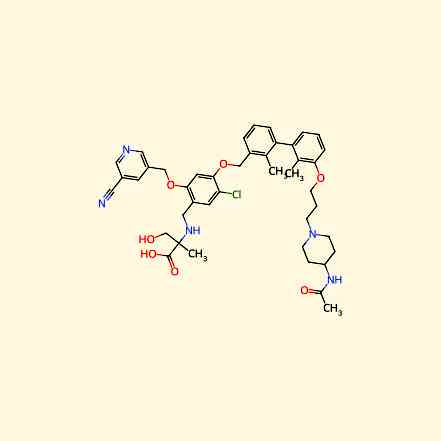 CC(=O)NC1CCN(CCCOc2cccc(-c3cccc(COc4cc(OCc5cncc(C#N)c5)c(CNC(C)(CO)C(=O)O)cc4Cl)c3C)c2C)CC1